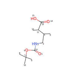 CC(CNC(=O)OC(C)(C)C)C(C)C(=O)O